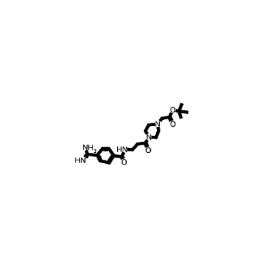 CC(C)(C)OC(=O)CN1CCN(C(=O)CCNC(=O)c2ccc(C(=N)N)cc2)CC1